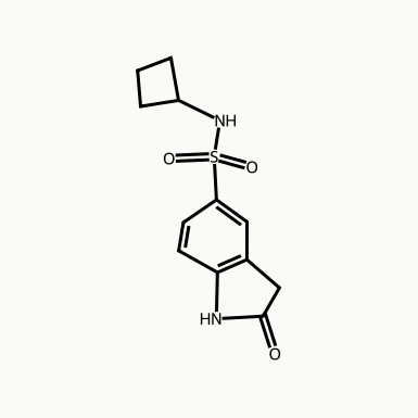 O=C1Cc2cc(S(=O)(=O)NC3CCC3)ccc2N1